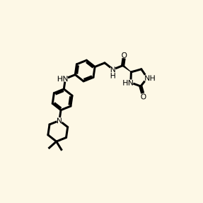 CC1(C)CCN(c2ccc(Nc3ccc(CNC(=O)[C@H]4CNC(=O)N4)cc3)cc2)CC1